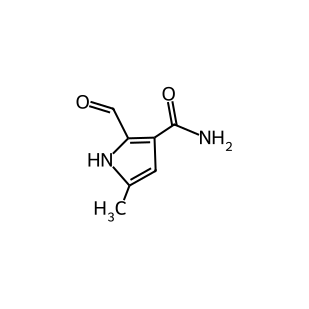 Cc1cc(C(N)=O)c(C=O)[nH]1